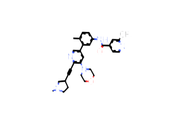 Cc1ccc(NC(=O)c2ccnc(C(F)(F)F)c2)cc1-c1cnc(C#CC2CCN(C)C2)c(N2CCOCC2)c1